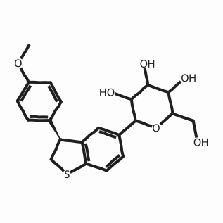 COc1ccc([C@@H]2CSc3ccc(C4OC(CO)C(O)C(O)C4O)cc32)cc1